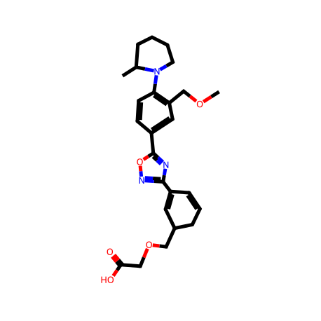 COCc1cc(-c2nc(C3=CC(COCC(=O)O)CC=C3)no2)ccc1N1CCCCC1C